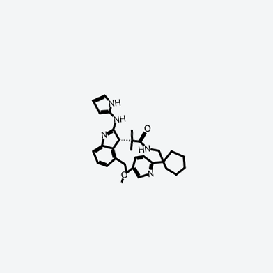 CCc1cccc2c1[C@@H](C(C)(C)C(=O)NCC1(c3ccc(OC)cn3)CCCCC1)C(Nc1ccc[nH]1)=N2